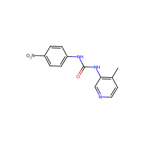 Cc1ccncc1NC(=O)Nc1ccc([N+](=O)[O-])cc1